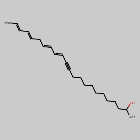 CCCC/C=C/C=C/C/C=C/C=C/C#CCCCCCCCCCC(O)OC(C)=O